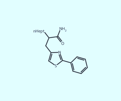 CCCCCCCC(Cc1csc(-c2ccccc2)n1)C(N)=O